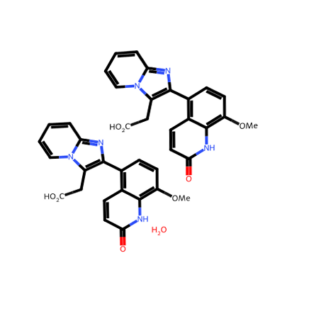 COc1ccc(-c2nc3ccccn3c2CC(=O)O)c2ccc(=O)[nH]c12.COc1ccc(-c2nc3ccccn3c2CC(=O)O)c2ccc(=O)[nH]c12.O